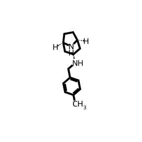 Cc1ccc(CN[C@@H]2C[C@H]3CC[C@@H](C2)N3)cc1